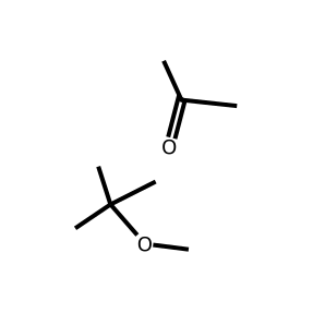 CC(C)=O.COC(C)(C)C